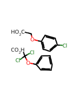 O=C(O)C(Cl)(Cl)Oc1ccccc1.O=C(O)COc1ccc(Cl)cc1